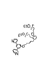 CCOC(=O)CCCOc1cccc(CCCCCCOc2cc(-c3cccnc3)cc(-c3cccnc3)c2)c1CCC(=O)OCC